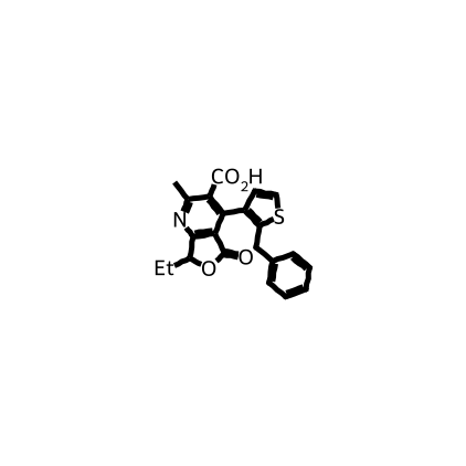 CCC1OC(=O)c2c1nc(C)c(C(=O)O)c2-c1ccsc1Cc1ccccc1